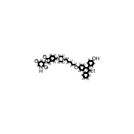 CCC(=C(c1ccc(O)cc1)c1ccc(OCCCCCN2CCN(c3ccc4c(c3)CN(C3CC(=O)CNC3=O)C4=O)CC2)cc1)c1ccccc1